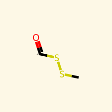 CSS[C]=O